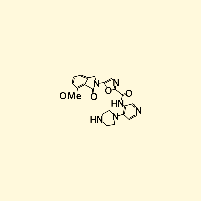 COc1cccc2c1C(=O)N(c1cnc(C(=O)Nc3cnccc3N3CCNCC3)o1)C2